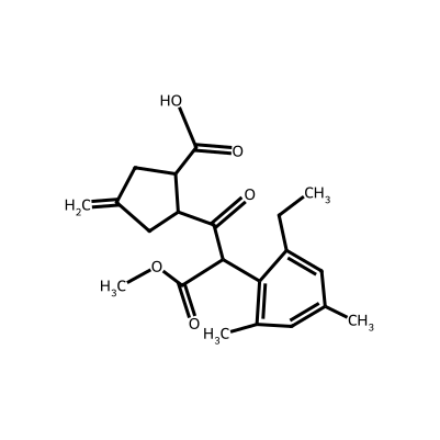 C=C1CC(C(=O)O)C(C(=O)C(C(=O)OC)c2c(C)cc(C)cc2CC)C1